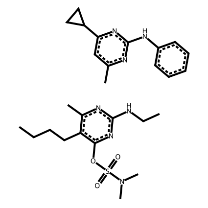 CCCCc1c(C)nc(NCC)nc1OS(=O)(=O)N(C)C.Cc1cc(C2CC2)nc(Nc2ccccc2)n1